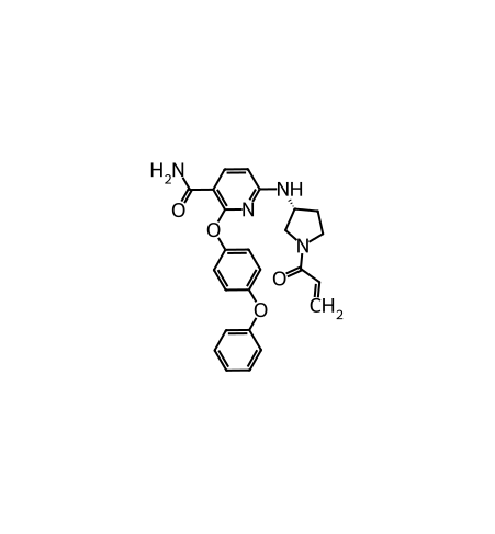 C=CC(=O)N1CC[C@@H](Nc2ccc(C(N)=O)c(Oc3ccc(Oc4ccccc4)cc3)n2)C1